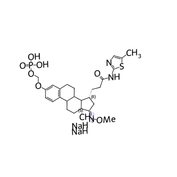 CO/N=C1\C[C@@H](CCC(=O)Nc2ncc(C)s2)C2C3CCc4cc(OCOP(=O)(O)O)ccc4C3CC[C@]12C.[NaH].[NaH]